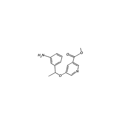 COC(=O)c1cncc(OC(C)c2cccc(N)c2)c1